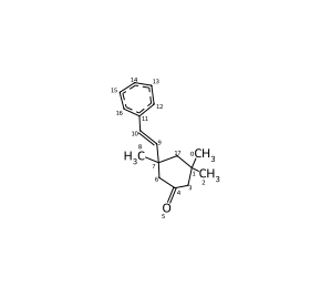 CC1(C)CC(=O)CC(C)(C=Cc2ccccc2)C1